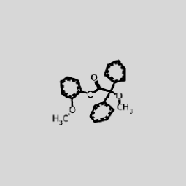 COc1ccccc1OC(=O)C(OC)(c1ccccc1)c1ccccc1